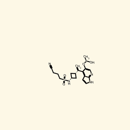 C=C(c1c(OB(C)O)cnc2[nH]ccc12)[C@H]1C[C@@H](NS(=O)(=O)CCCC#N)C1